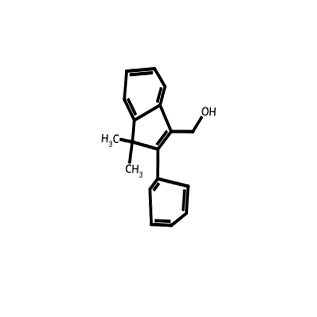 CC1(C)C(c2ccccc2)=C(CO)c2ccccc21